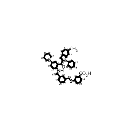 Cc1ccc2cc(C(=O)c3cc(N4CCCCC4)ccc3NC(=O)c3cccc(CSc4cccc(C(=O)O)c4)c3)n(-c3ccccc3)c2c1